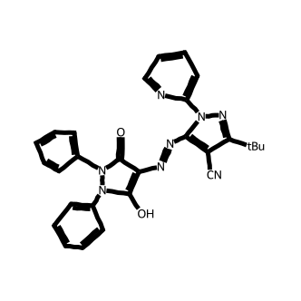 CC(C)(C)c1nn(-c2ccccn2)c(N=Nc2c(O)n(-c3ccccc3)n(-c3ccccc3)c2=O)c1C#N